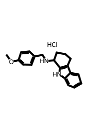 COc1ccc(CNC2CCCc3c2[nH]c2ccccc32)cc1.Cl